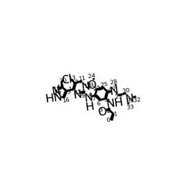 C=CC(=O)Nc1cc(Nc2ncc(Cl)c(-c3c[nH]nc3C)n2)c(OC)cc1N(C)CCN(C)C